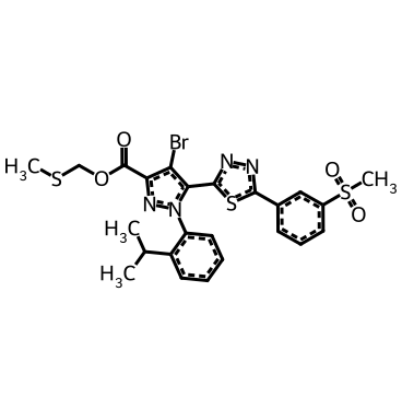 CSCOC(=O)c1nn(-c2ccccc2C(C)C)c(-c2nnc(-c3cccc(S(C)(=O)=O)c3)s2)c1Br